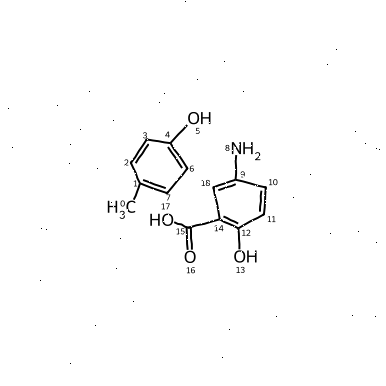 Cc1ccc(O)cc1.Nc1ccc(O)c(C(=O)O)c1